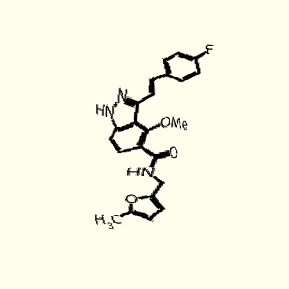 COc1c(C(=O)NCc2ccc(C)o2)ccc2[nH]nc(/C=C/c3ccc(F)cc3)c12